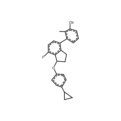 Cc1c(C#N)cccc1-c1ccc(F)c2c1CCC2Oc1ccc(C2CC2)cc1